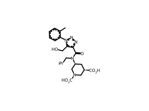 Cc1ccccc1-n1nnc(C(=O)N(CC(C)C)[C@H]2C[C@@H](C(=O)O)CN(C(=O)O)C2)c1CO